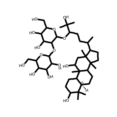 CC(CCC(OC1OC(CO)C(O)C(O)C1OC1OC(CO)C(O)C(O)C1O)C(C)(C)O)C1CCC2(C)C3CC[C@@H]4C(CCC(O)C4(C)C)C3(C)C(O)CC12C